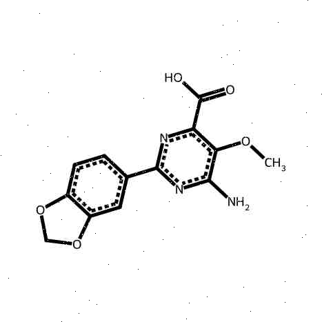 COc1c(N)nc(-c2ccc3c(c2)OCO3)nc1C(=O)O